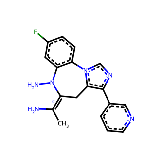 C/C(N)=C1\Cc2c(-c3cccnc3)ncn2-c2ccc(F)cc2N1N